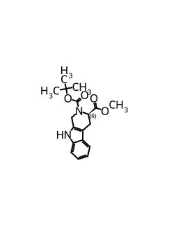 COC(=O)[C@H]1Cc2c([nH]c3ccccc23)CN1C(=O)OC(C)(C)C